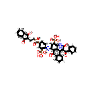 O=C(c1ccccc1)c1c2c3c(c(Nc4ccc(S(=O)(=O)CCC5C(=O)c6ccccc6C5=O)cc4S(=O)(=O)O)cc(S(=O)(=O)O)c3[nH]c1=O)C(=O)c1ccccc1-2